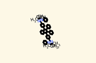 CC1(C)N=C(c2ccc(-c3c(-c4ccccc4)c(-c4ccccc4)c(-c4ccc(C5=NC(C)(C)C(C)(C)N5c5ccccc5)cc4)c4ccccc34)cc2)N(c2ccccc2)C1(C)C